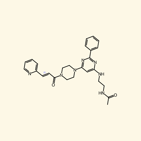 CC(=O)NCCNc1cc(N2CCN(C(=O)/C=C/c3ccccn3)CC2)nc(-c2ccccc2)n1